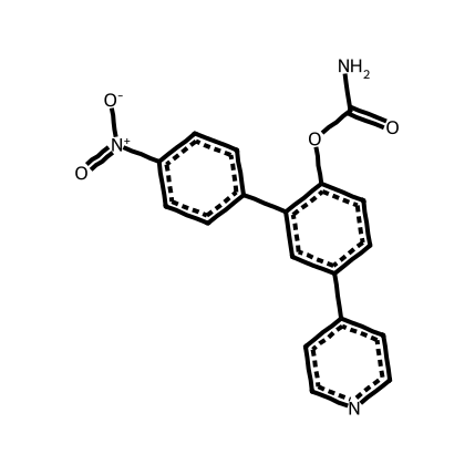 NC(=O)Oc1ccc(-c2ccncc2)cc1-c1ccc([N+](=O)[O-])cc1